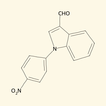 O=Cc1cn(-c2ccc([N+](=O)[O-])cc2)c2ccccc12